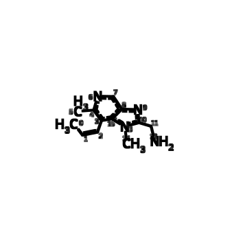 C/C=C\c1c(C)ncc2nc(CN)n(C)c12